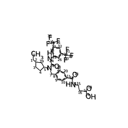 CCC1CCC(N(Cc2ccc(C(=O)NCCC(=O)O)cc2)C(=O)Nc2cc(C(F)(F)F)cc(C(F)(F)F)c2)C1